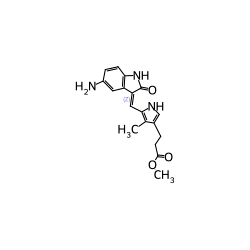 COC(=O)CCc1c[nH]c(/C=C2\C(=O)Nc3ccc(N)cc32)c1C